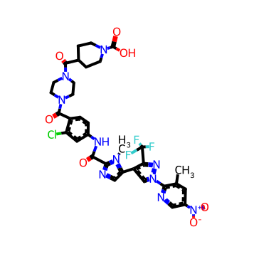 Cc1cc([N+](=O)[O-])cnc1-n1cc(-c2cnc(C(=O)Nc3ccc(C(=O)N4CCN(C(=O)C5CCN(C(=O)O)CC5)CC4)c(Cl)c3)n2C)c(C(F)(F)F)n1